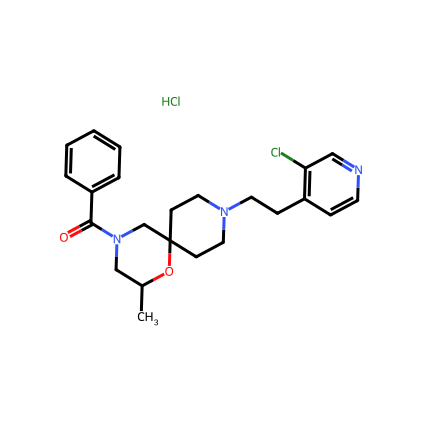 CC1CN(C(=O)c2ccccc2)CC2(CCN(CCc3ccncc3Cl)CC2)O1.Cl